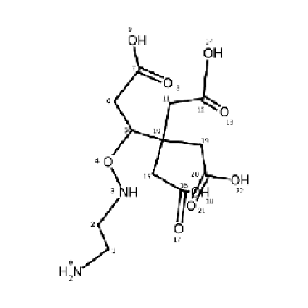 NCCNOC(CC(=O)O)C(CC(=O)O)(CC(=O)O)CC(=O)O